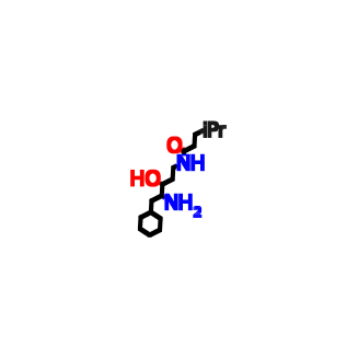 CC(C)CCC(=O)NCC[C@H](O)[C@@H](N)CC1CCCCC1